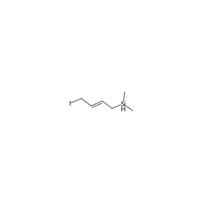 C[SiH](C)CC=CCI